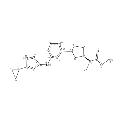 CN(C(=O)OC(C)(C)C)[C@@H]1CCN(c2nccc(Nc3cc(C4CC4)[nH]n3)n2)C1